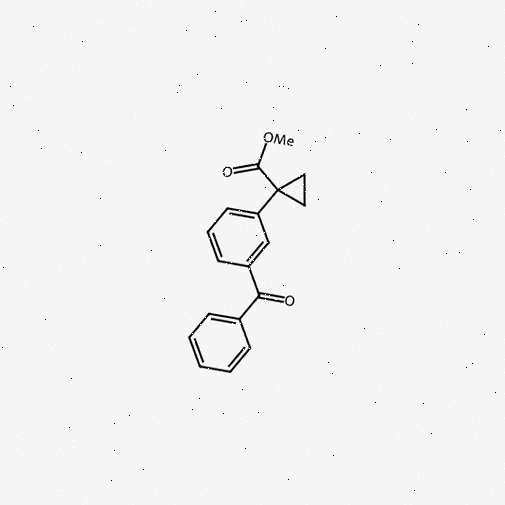 COC(=O)C1(c2cccc(C(=O)c3ccccc3)c2)CC1